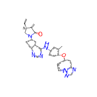 C=C[C@@H]1CN(c2ccc3ncnc(Nc4ccc(Oc5ccn6ncnc6c5)c(C)c4)c3c2)C(=O)C1=C